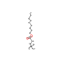 CCCCCCCCCOC(=O)CCC(C)(C)C